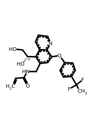 C=CC(=O)NCc1cc(Oc2ccc(C(C)(F)F)cc2)c2ncccc2c1[C@H](O)CO